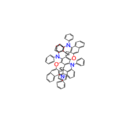 c1ccc(N2c3cccc4c3[Si]3(c5ccccc5)c5c(c6c7c(c52)Oc2cc5ccccc5c5c2[Si]7(c2ccccc2)c2c(cccc2N5c2ccccc2)N6c2ccccc2)Oc2cc5ccccc5c(c23)N4c2ccccc2)cc1